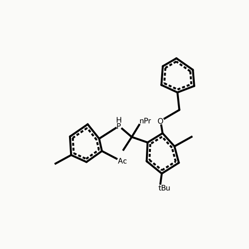 CCCC(C)(Pc1ccc(C)cc1C(C)=O)c1cc(C(C)(C)C)cc(C)c1OCc1ccccc1